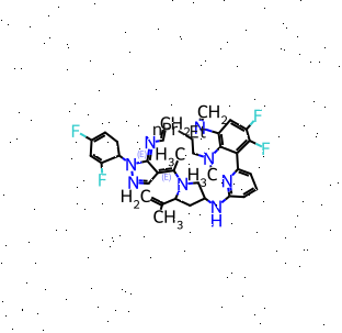 C=C/N=C1\C(=C(/C)N2CC(Nc3cccc(-c4c(F)c(F)cc(N=C)c4N(C)CC(CC)CCC)n3)CC2C(=C)C)C=NN1C1CC=C(F)C=C1F